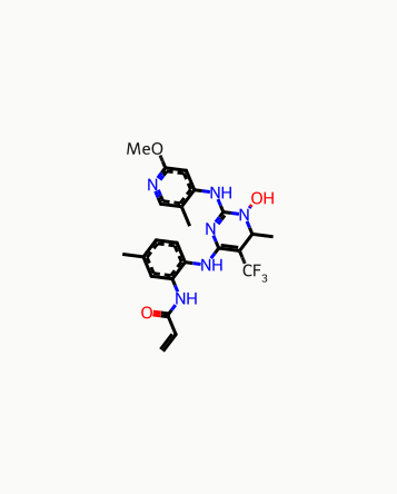 C=CC(=O)Nc1cc(C)ccc1NC1=C(C(F)(F)F)C(C)N(O)C(Nc2cc(OC)ncc2C)=N1